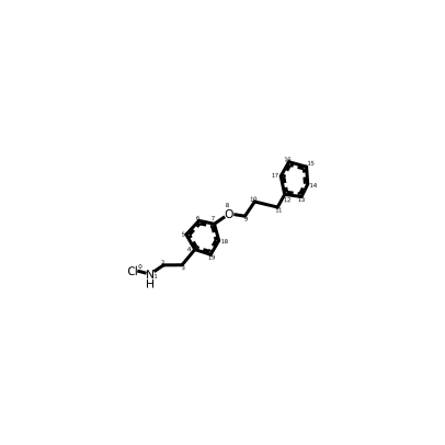 ClNCCc1ccc(OCCCc2ccccc2)cc1